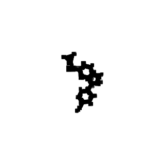 Fc1ccc(-c2nnc3ccc(NC4CC4)nn23)cc1